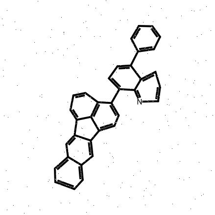 c1ccc(-c2ccc(-c3ccc4c5c(cccc35)-c3cc5ccccc5cc3-4)c3ncccc23)cc1